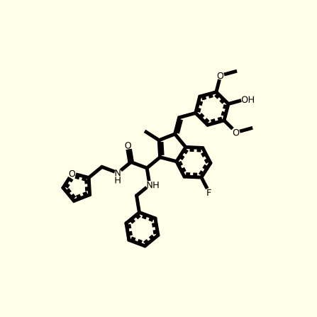 COc1cc(/C=C2/C(C)=C(C(NCc3ccccc3)C(=O)NCc3ccco3)c3cc(F)ccc32)cc(OC)c1O